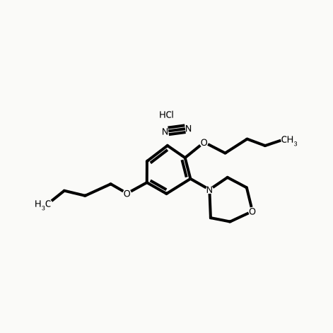 CCCCOc1ccc(OCCCC)c(N2CCOCC2)c1.Cl.N#N